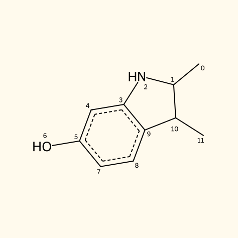 CC1Nc2cc(O)ccc2C1C